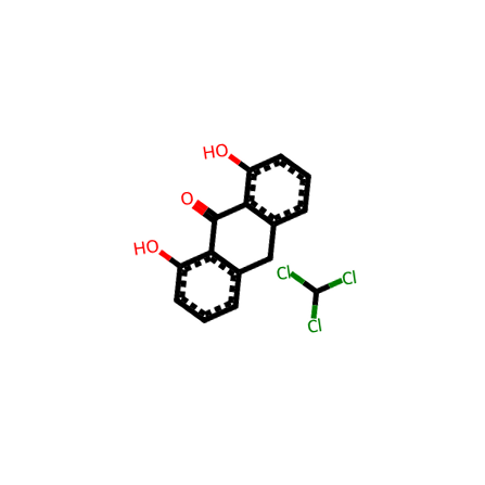 ClC(Cl)Cl.O=C1c2c(O)cccc2Cc2cccc(O)c21